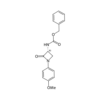 COc1ccc(N2C[C@@H](NC(=O)OCc3ccccc3)C2=O)cc1